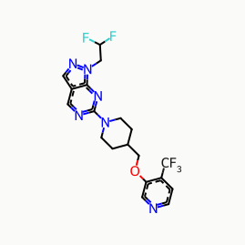 FC(F)Cn1ncc2cnc(N3CCC(COc4cnccc4C(F)(F)F)CC3)nc21